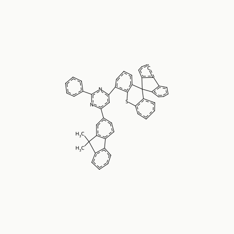 CC1(C)c2ccccc2-c2ccc(-c3cc(-c4cccc5c4Sc4ccccc4C54c5ccccc5-c5ccccc54)nc(-c4ccccc4)n3)cc21